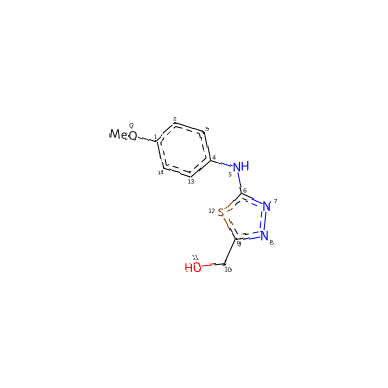 COc1ccc(Nc2nnc(CO)s2)cc1